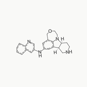 c1ccc2ncc(Nc3cc4c5c(c3)[C@@H]3CNCC[C@@H]3N5CCOC4)cc2c1